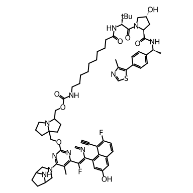 C#Cc1c(F)ccc2cc(O)cc(/C(N=C)=C(\F)c3nc(OCC45CCCN4C(COC(=O)NCCCCCCCCCC(=O)N[C@H](C(=O)N4C[C@H](O)C[C@H]4C(=O)N[C@@H](C)c4ccc(-c6scnc6C)cc4)C(C)(C)C)CC5)nc(N4CC5CCC(C4)N5)c3C)c12